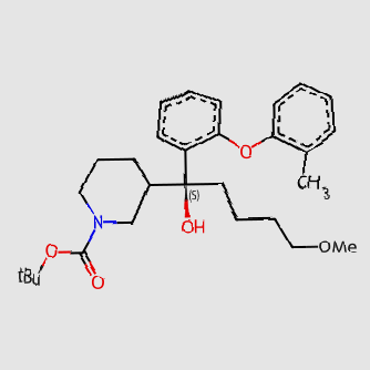 COCCCC[C@@](O)(c1ccccc1Oc1ccccc1C)C1CCCN(C(=O)OC(C)(C)C)C1